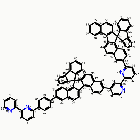 c1ccc(-c2cccc(-c3ccc(-c4ccc5c6c(ccc5c4)-c4c(ccc5cc(-c7ccnc(-c8cccc(-c9ccc%10c%11c(ccc%10c9)-c9c(ccc%10ccccc9%10)C%119c%10ccccc%10-c%10ccccc%109)n8)c7)ccc45)C64c5ccccc5-c5ccccc54)cc3)n2)nc1